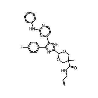 C=CCNC(=O)C1(C)COC(c2nc(-c3ccc(F)cc3)c(-c3ccnc(Nc4ccccc4)n3)[nH]2)OC1